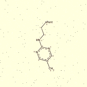 CCCCCCCNc1ncc(C)cn1